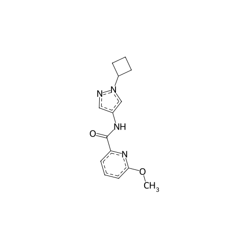 COc1cccc(C(=O)Nc2cnn(C3CCC3)c2)n1